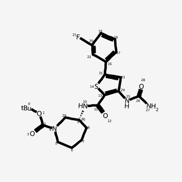 CC(C)(C)OC(=O)N1CCCC[C@@H](NC(=O)c2sc(-c3cccc(F)c3)cc2NC(N)=O)C1